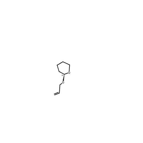 C=CCO[C@H]1CCCCO1